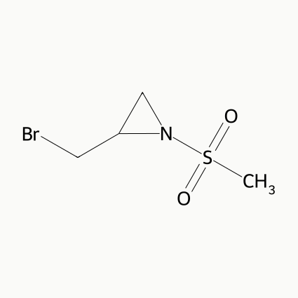 CS(=O)(=O)N1CC1CBr